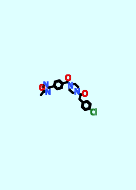 Cc1nc(-c2ccc(C(=O)N3CCN(C(=O)Cc4ccc(Cl)cc4)CC3)cc2)no1